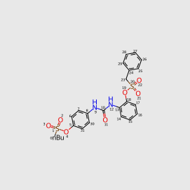 CCCCS(=O)(=O)Oc1ccc(NC(=O)Nc2ccccc2OS(=O)(=O)Cc2ccccc2)cc1